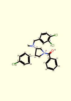 CN(Cc1ccc(Cl)c(Cl)c1)[C@@H]1CN(C(=O)c2ccccc2)C[C@@H]1c1ccc(Cl)cc1